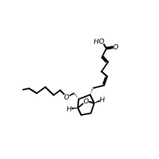 CCCCCCOC[C@@H]1[C@H](C/C=C\C/C=C/C(=O)O)[C@@H]2CC[C@H]1O2